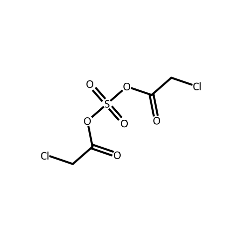 O=C(CCl)OS(=O)(=O)OC(=O)CCl